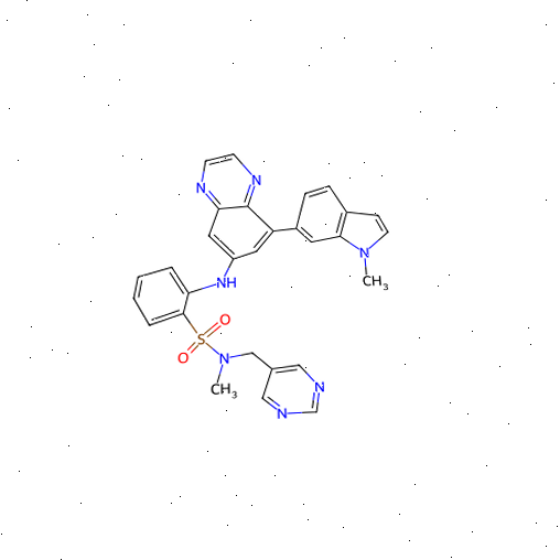 CN(Cc1cncnc1)S(=O)(=O)c1ccccc1Nc1cc(-c2ccc3ccn(C)c3c2)c2nccnc2c1